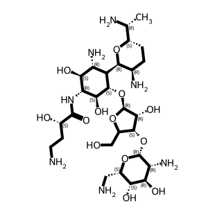 C[C@@H](N)[C@@H]1CC[C@@H](N)[C@@H](C2[C@@H](N)[C@H](O)[C@@H](NC(=O)[C@@H](O)CCN)[C@H](O)[C@H]2O[C@@H]2OC(CO)[C@@H](O[C@H]3O[C@@H](CN)[C@@H](O)[C@H](O)[C@H]3N)[C@H]2O)O1